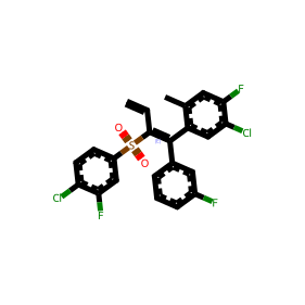 C=C/C(=C(/c1cccc(F)c1)c1cc(Cl)c(F)cc1C)S(=O)(=O)c1ccc(Cl)c(F)c1